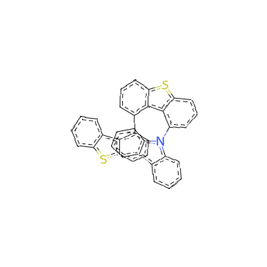 c1ccc2c(c1)sc1cccc(-c3cccc4sc5cccc(-n6c7ccccc7c7ccccc76)c5c34)c12